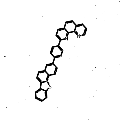 c1cnc2c(c1)ccc1ccc(-c3ccc(-c4ccc5c(ccc6c7ccccc7sc56)c4)cc3)nc12